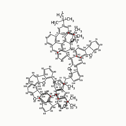 CC(C)(C)c1cc(-c2cccc3cccc(-c4ccccc4N(c4ccc5oc6ccccc6c5c4)c4ccccc4-c4cccc5c4oc4c(CC(C)(C)c6cc(-c7cccc8cccc(-c9ccccc9N(c9cccc(-c%10cccc%11c%10oc%10ccccc%10%11)c9)c9ccc%10oc%11ccccc%11c%10c9)c78)cc(C(C)(C)C)c6)cccc45)c23)cc(C(C)(C)C)c1